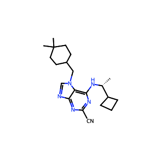 C[C@@H](Nc1nc(C#N)nc2ncn(CC3CCC(C)(C)CC3)c12)C1CCC1